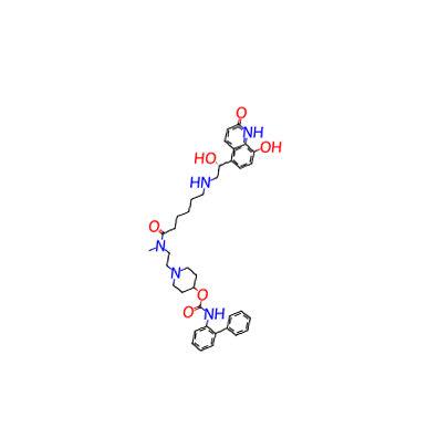 CN(CCN1CCC(OC(=O)Nc2ccccc2-c2ccccc2)CC1)C(=O)CCCCCNC[C@H](O)c1ccc(O)c2[nH]c(=O)ccc12